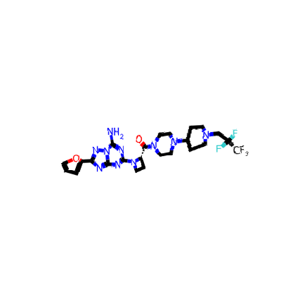 Nc1nc(N2CC[C@H]2C(=O)N2CCN(C3CCN(CC(F)(F)C(F)(F)F)CC3)CC2)nc2nc(-c3ccco3)nn12